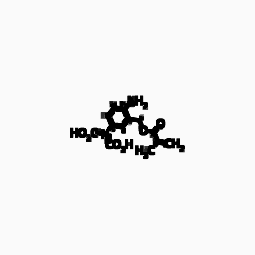 C=C(C)C(=O)OCc1cc(N(C(=O)O)C(=O)O)ccc1N